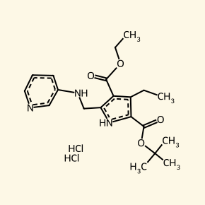 CCOC(=O)c1c(CNc2cccnc2)[nH]c(C(=O)OC(C)(C)C)c1CC.Cl.Cl